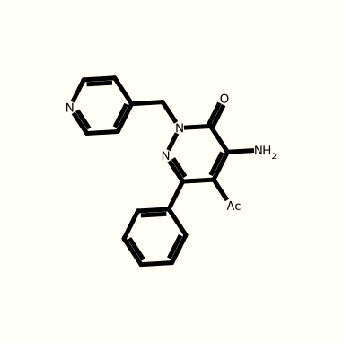 CC(=O)c1c(-c2ccccc2)nn(Cc2ccncc2)c(=O)c1N